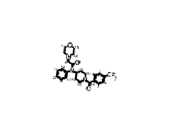 O=C(c1ccc(C(F)(F)F)cc1)N1CCC(N(C(=O)CN2CCOCC2)c2ccccc2)CC1